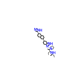 C=C(CC)N[C@@H](CC)C(=C)N1CCC[C@H]1c1nc2ccc(-c3ccc4cc(-c5cnc[nH]5)ccc4c3)cc2[nH]1